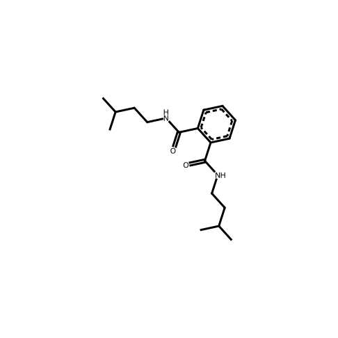 CC(C)CCNC(=O)c1ccccc1C(=O)NCCC(C)C